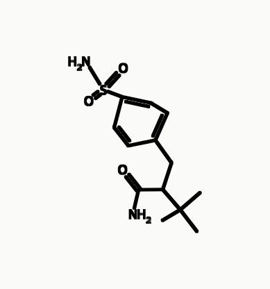 CC(C)(C)C(Cc1ccc(S(N)(=O)=O)cc1)C(N)=O